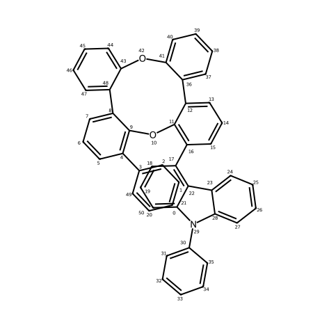 c1ccc(-c2cccc3c2Oc2c(cccc2-c2cccc4c2c2ccccc2n4-c2ccccc2)-c2ccccc2Oc2ccccc2-3)cc1